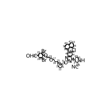 N#CC[C@H]1CN(c2nc(OC[C@@H]3CCCN3CCCOCCOc3c(Br)cc(C=O)cc3Br)nc3c2CCN(c2cccc4cccc(Cl)c24)C3)CCN1